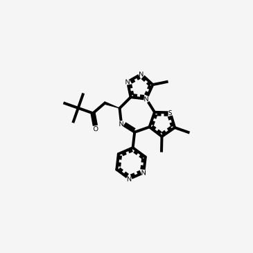 Cc1sc2c(c1C)C(c1ccnnc1)=N[C@@H](CC(=O)C(C)(C)C)c1nnc(C)n1-2